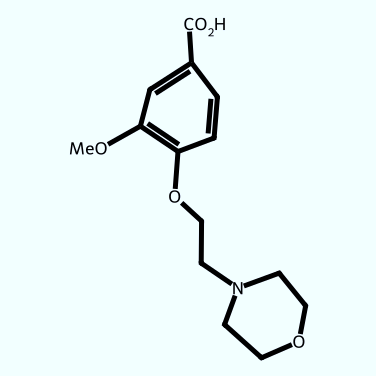 COc1cc(C(=O)O)ccc1OCCN1CCOCC1